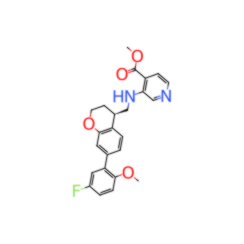 COC(=O)c1ccncc1NC[C@@H]1CCOc2cc(-c3cc(F)ccc3OC)ccc21